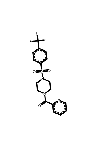 O=C(c1ccccn1)N1CCN(S(=O)(=O)c2ccc(C(F)(F)F)cc2)CC1